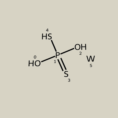 OP(O)(=S)S.[W]